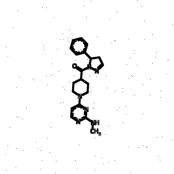 CNc1nccc(N2CCC(C(=O)N3N=CCC3c3ccccc3)CC2)n1